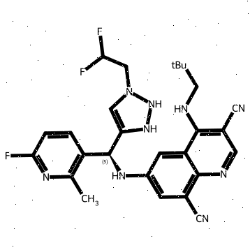 Cc1nc(F)ccc1[C@H](Nc1cc(C#N)c2ncc(C#N)c(NCC(C)(C)C)c2c1)C1=CN(CC(F)F)NN1